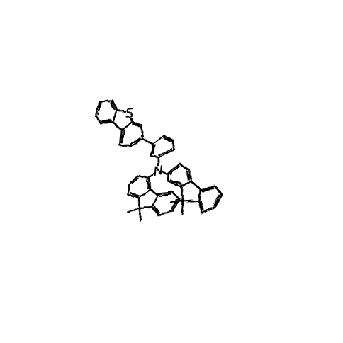 CC1(C)c2ccccc2-c2ccc(N(c3cccc(-c4ccc5c(c4)sc4ccccc45)c3)c3cccc4c3-c3ccccc3C4(C)C)cc21